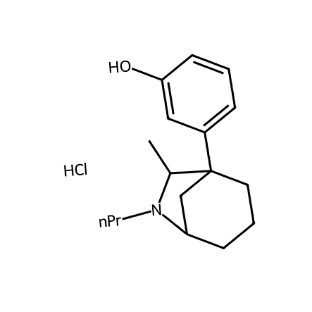 CCCN1C2CCCC(c3cccc(O)c3)(C2)C1C.Cl